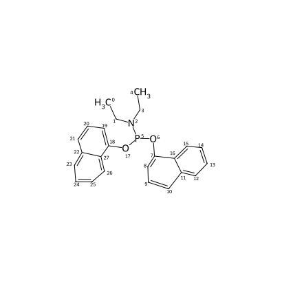 CCN(CC)P(Oc1cccc2ccccc12)Oc1cccc2ccccc12